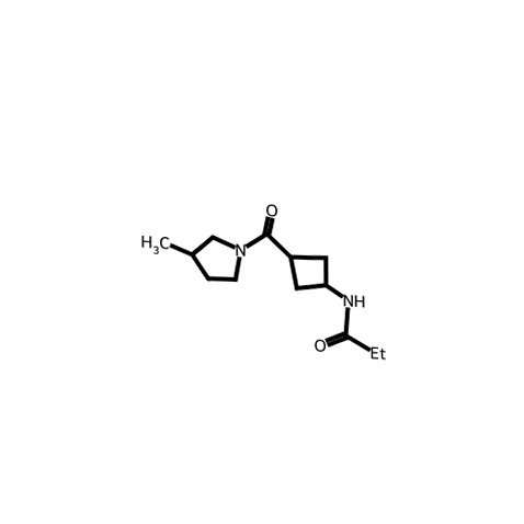 CCC(=O)NC1CC(C(=O)N2CCC(C)C2)C1